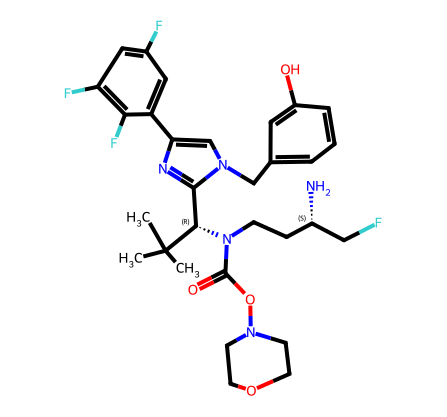 CC(C)(C)[C@H](c1nc(-c2cc(F)cc(F)c2F)cn1Cc1cccc(O)c1)N(CC[C@H](N)CF)C(=O)ON1CCOCC1